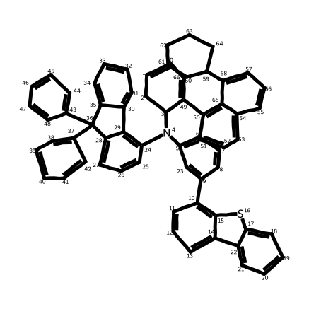 C1=CCC(N(c2cccc(-c3cccc4c3sc3ccccc34)c2)c2cccc3c2-c2ccccc2C3(c2ccccc2)c2ccccc2)C(c2cccc3cccc(C4CCCCC4)c23)=C1